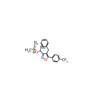 C[SiH](C)OC(c1noc(-c2ccc(C(F)(F)F)cc2)c1Cc1ccccc1)C(C)(C)C